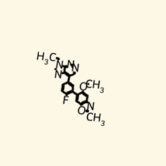 CCn1cnc2c(-c3ccc(F)c(-c4cc5oc(C)nc5cc4OC)c3)cnnc21